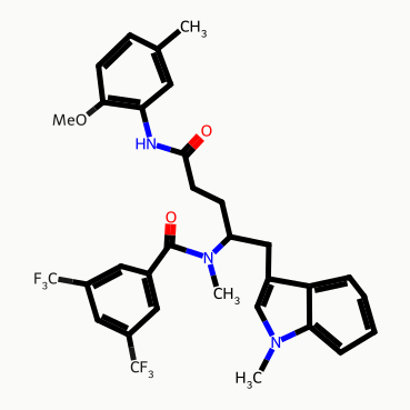 COc1ccc(C)cc1NC(=O)CCC(Cc1cn(C)c2ccccc12)N(C)C(=O)c1cc(C(F)(F)F)cc(C(F)(F)F)c1